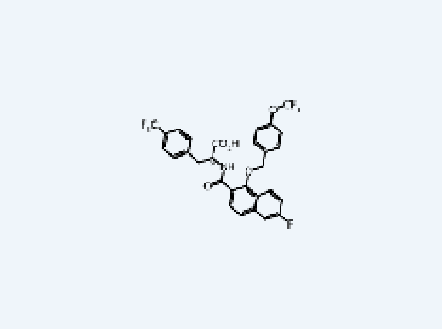 O=C(N[C@@H](Cc1ccc(C(F)(F)F)cc1)C(=O)O)c1ccc2cc(F)ccc2c1OCc1ccc(OC(F)(F)F)cc1